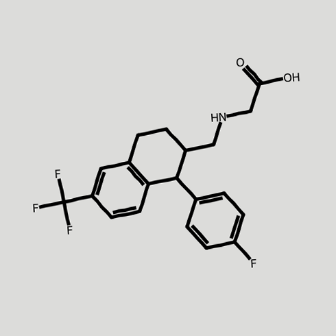 O=C(O)CNCC1CCc2cc(C(F)(F)F)ccc2C1c1ccc(F)cc1